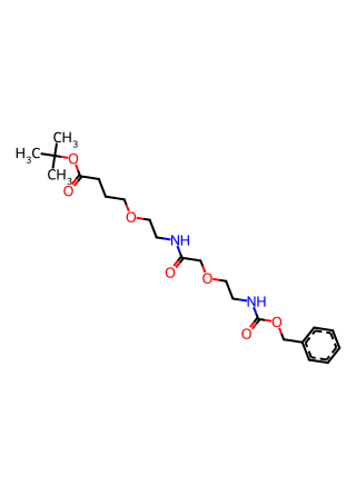 CC(C)(C)OC(=O)CCCOCCNC(=O)COCCNC(=O)OCc1ccccc1